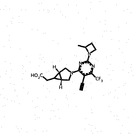 C#Cc1c(N2C[C@@H]3C(CC(=O)O)[C@@H]3C2)nc(N2CCC2C)nc1C(F)(F)F